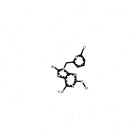 CCOc1nc(N)c2nc(Br)n(Cc3cccc(Cl)n3)c2n1